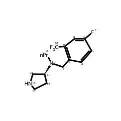 CCCN(Cc1ccc(F)cc1C(F)(F)F)[C@H]1CCNC1